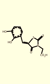 O=C(O)CN1C(=O)/C(=C/c2cccc(O)c2O)SC1=S